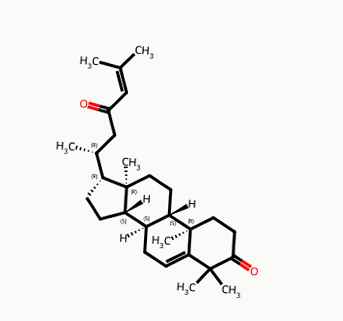 CC(C)=CC(=O)C[C@@H](C)[C@H]1CC[C@H]2[C@@H]3CC=C4C(C)(C)C(=O)CC[C@]4(C)[C@H]3CC[C@]12C